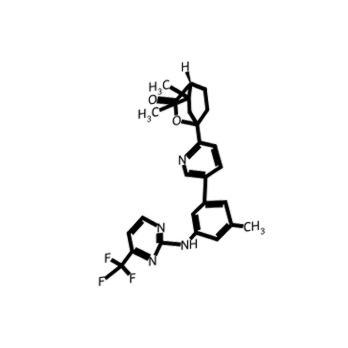 Cc1cc(Nc2nccc(C(F)(F)F)n2)cc(-c2ccc(C34CC[C@@H](C(=O)O3)C(C)(C)C4)nc2)c1